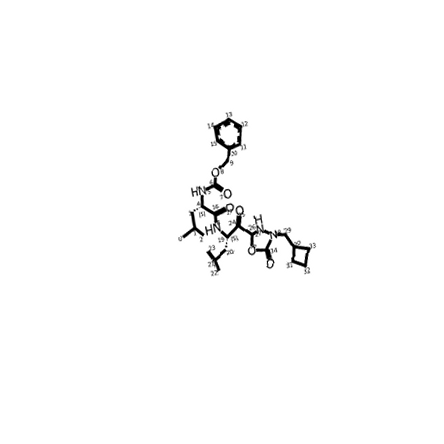 CC(C)C[C@H](NC(=O)OCc1ccccc1)C(=O)N[C@@H](CC(C)C)C(=O)C1NN(CC2CCC2)C(=O)O1